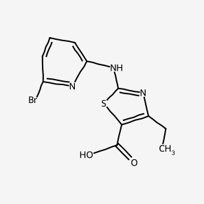 CCc1nc(Nc2cccc(Br)n2)sc1C(=O)O